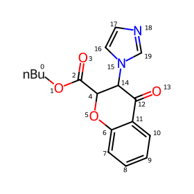 CCCCOC(=O)C1Oc2ccccc2C(=O)C1n1ccnc1